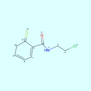 O=C(NCCCl)C1=CC=CCC1=S